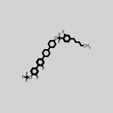 CCCCCc1ccc(C(F)(F)OC2CCC(C3CCC(c4ccc(-c5ccc(OC(F)(F)F)c(F)c5)c(F)c4)CC3)CC2)c(F)c1